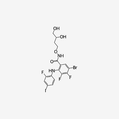 O=C(NOCCC(O)CO)c1cc(Br)c(F)c(F)c1Nc1ccc(I)cc1F